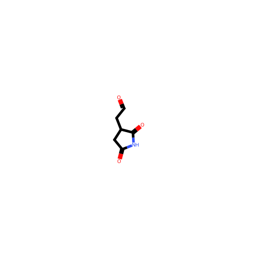 O=[C]CC1CC(=O)NC1=O